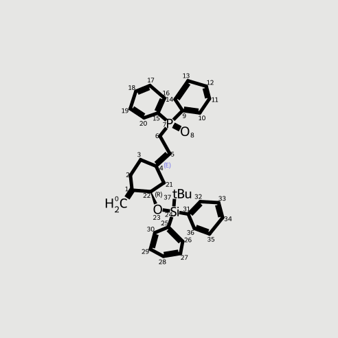 C=C1CC/C(=C\CP(=O)(c2ccccc2)c2ccccc2)C[C@H]1O[Si](c1ccccc1)(c1ccccc1)C(C)(C)C